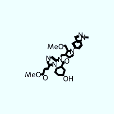 COCC1C(CN(C(=O)C2CCCC(O)C2)c2cncc(/C=C/C(=O)OC)n2)CCN1c1ccc2c(cnn2C)c1